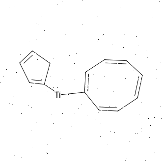 C1=CC=C[C]([Ti][C]2=CC=CC2)=CC=C1